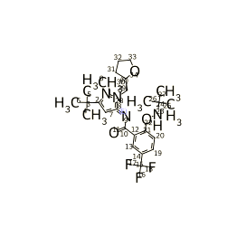 Cn1c(C(C)(C)C)c/c(=N\C(=O)c2cc(C(F)(F)F)ccc2ONC(C)(C)C)n1C[C@H]1CCCO1